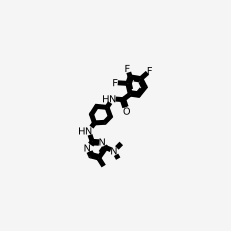 Cc1cnc(NC2CCC(NC(=O)c3ccc(F)c(F)c3F)CC2)nc1N(C)C